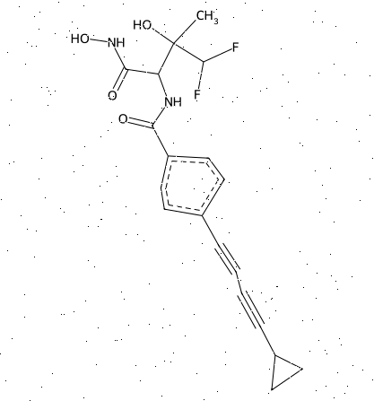 CC(O)(C(F)F)C(NC(=O)c1ccc(C#CC#CC2CC2)cc1)C(=O)NO